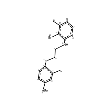 CCCCc1ccc(OCCNc2ncnc(C)c2Br)c(C)c1